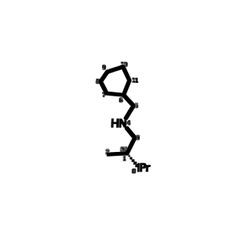 CC(C)[C@H](C)CNCC1CCCCC1